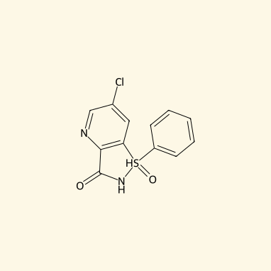 O=C1N[SH](=O)(c2ccccc2)c2cc(Cl)cnc21